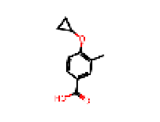 Cc1cc(C(=O)O)ccc1OC1CC1